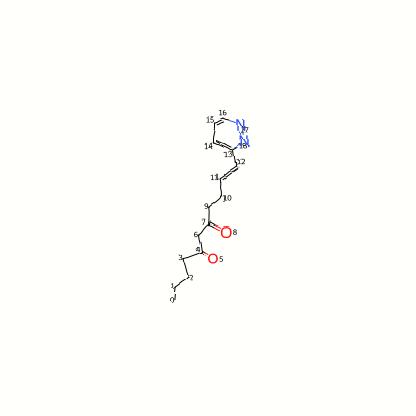 CCCCC(=O)CC(=O)CCC=Cc1cccnn1